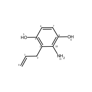 C=CCc1c(O)ccc(O)c1N